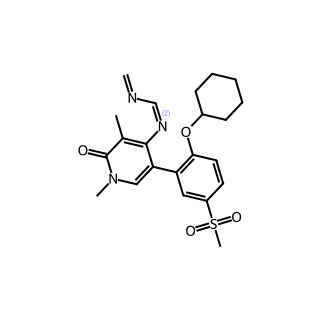 C=N/C=N\c1c(-c2cc(S(C)(=O)=O)ccc2OC2CCCCC2)cn(C)c(=O)c1C